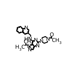 CC(=O)N1CCN(c2nc(NCc3cnc4ccccc4c3)c3c(cnn3C(C)C)n2)CC1